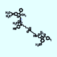 CC[N+](CC)=c1ccc2c(-c3ccccc3)c(C)c(/C=C/C=C3/N(CCCCCC(=O)NCCCCNC(=O)Cc4c(C)n(C(=O)c5ccc(I)cc5)c5ccc(OC)cc45)c4ccc(S)cc4C3(C)C)oc-2c1